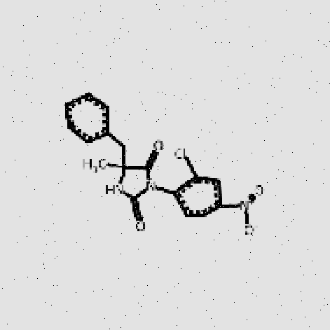 C[C@]1(Cc2ccccc2)NC(=O)N(c2ccc([N+](=O)[O-])cc2Cl)C1=O